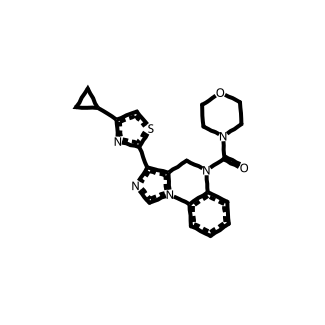 O=C(N1CCOCC1)N1Cc2c(-c3nc(C4CC4)cs3)ncn2-c2ccccc21